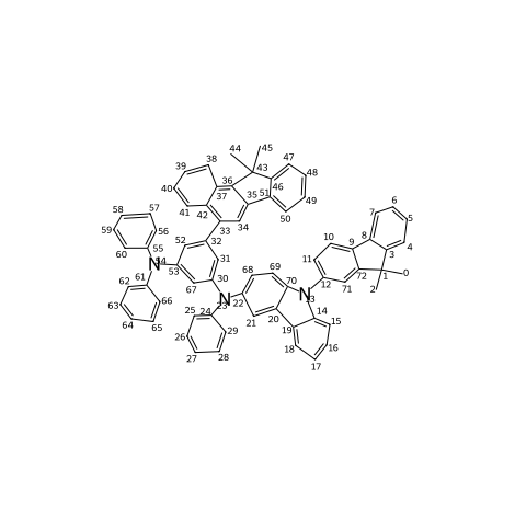 CC1(C)c2ccccc2-c2ccc(-n3c4ccccc4c4cc(N(c5ccccc5)c5cc(-c6cc7c(c8ccccc68)C(C)(C)c6ccccc6-7)cc(N(c6ccccc6)c6ccccc6)c5)ccc43)cc21